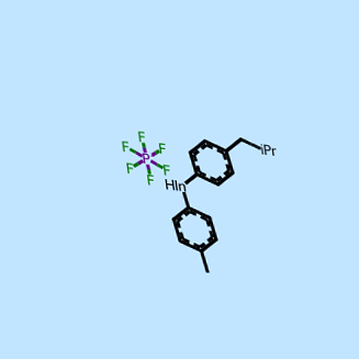 Cc1cc[c]([InH][c]2ccc(CC(C)C)cc2)cc1.F[P-](F)(F)(F)(F)F